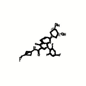 O=C(NC12CC(F)(C1)C2)c1cn(-c2c(F)cc(F)cc2F)c2nc(N3C[C@@H](O)[C@H](O)C3)ccc2c1=O